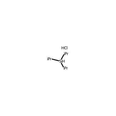 CC(C)[SiH](C(C)C)C(C)C.Cl